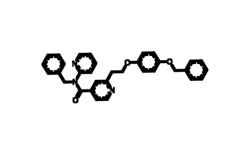 O=C(c1ccnc(CCOc2ccc(OCc3ccccc3)cc2)c1)N(Cc1ccccc1)c1ccccn1